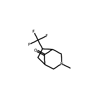 CN1CC2CC(C(F)(F)F)C(C1)C2=O